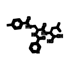 Cc1ccc(C(=O)NC[C@H](NC(=O)c2cccnc2)C(=O)N[C@@H](CC(C)C)B(O)O)cc1